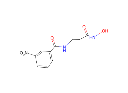 O=C(CCNC(=O)c1cccc([N+](=O)[O-])c1)NO